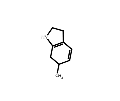 CC1C=CC2=C(C1)NCC2